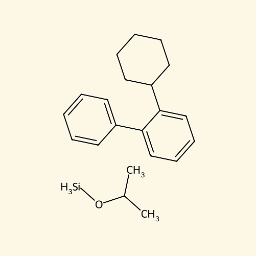 CC(C)O[SiH3].c1ccc(-c2ccccc2C2CCCCC2)cc1